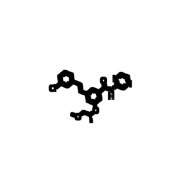 COC[C@H](C)Oc1cc(C=Cc2cccc(Cl)c2)cc(C(=O)Nc2cnccn2)c1